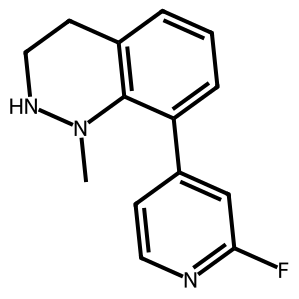 CN1NCCc2cccc(-c3ccnc(F)c3)c21